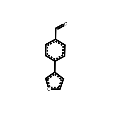 O=Cc1ccc(-c2ccoc2)cc1